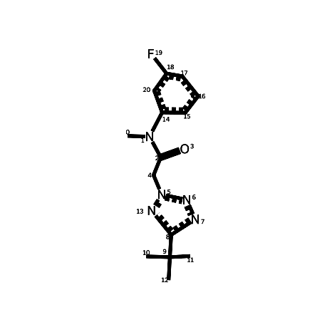 CN(C(=O)Cn1nnc(C(C)(C)C)n1)c1cccc(F)c1